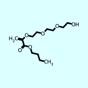 C=C(OCCOCCOCCO)C(=O)OCCCC